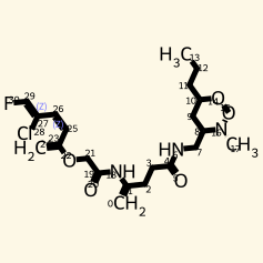 C=C(CCC(=O)NCC1CC(CCC)OON1C)NC(=O)COC(=C)/C=C\C(Cl)=C\F